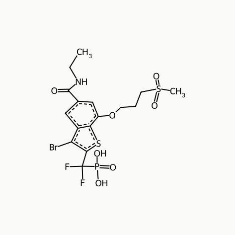 CCNC(=O)c1cc(OCCCS(C)(=O)=O)c2sc(C(F)(F)P(=O)(O)O)c(Br)c2c1